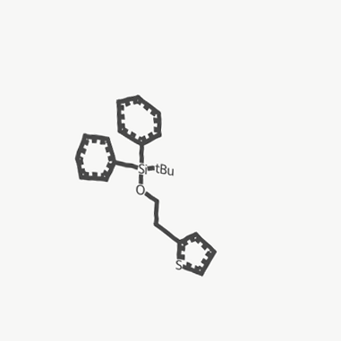 CC(C)(C)[Si](OCCc1cccs1)(c1ccccc1)c1ccccc1